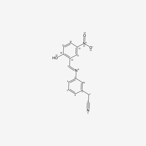 N#CCc1cccc(/N=C/c2cc([N+](=O)[O-])ccc2O)c1